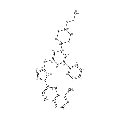 Cc1cccc(Cl)c1NC(=O)c1cnc(Nc2nc(-c3ccccn3)nc(N3CCN(CCO)CC3)n2)s1